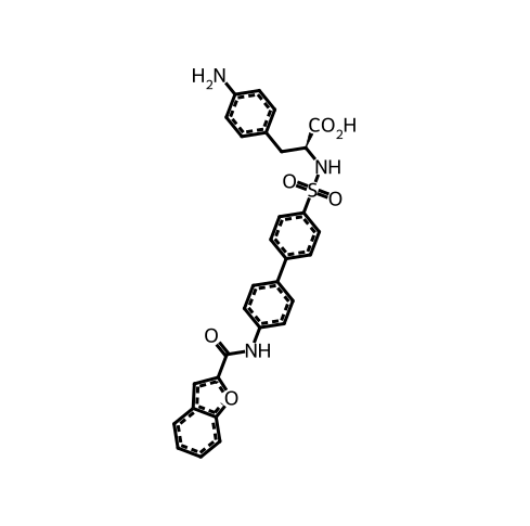 Nc1ccc(C[C@H](NS(=O)(=O)c2ccc(-c3ccc(NC(=O)c4cc5ccccc5o4)cc3)cc2)C(=O)O)cc1